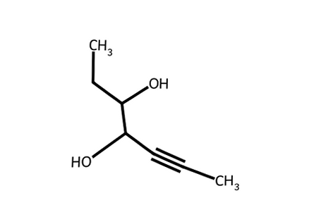 CC#CC(O)C(O)CC